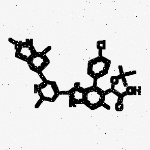 Cc1cc2nc(C3=CC(c4cc(C)c5nn(C)cc5c4)=NC(C)C3)sc2c(-c2ccc(Cl)cc2)c1[C@H](OC(C)(C)C)C(=O)O